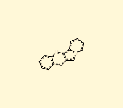 c1ccc2nc3c(cc2c1)cn1ccccc31